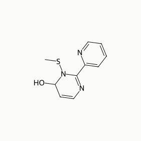 CSN1C(c2ccccn2)=NC=CC1O